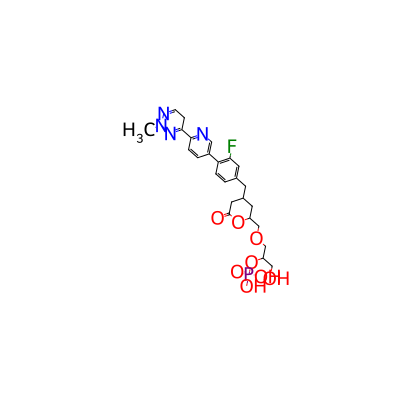 CN1N=CCC(c2ccc(-c3ccc(CC4CC(=O)OC(COCC(CO)OP(=O)(O)O)C4)cc3F)cn2)=N1